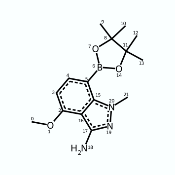 COc1ccc(B2OC(C)(C)C(C)(C)O2)c2c1c(N)nn2C